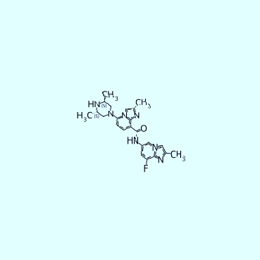 Cc1cn2cc(NC(=O)c3ccc(N4C[C@H](C)N[C@@H](C)C4)n4cc(C)nc34)cc(F)c2n1